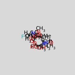 CC[C@H]1OC(=O)[C@H](C)[C@@H](OC(=O)Cc2ccc(F)cc2)[C@H](C)[C@@H](OC2OC(C)CC(N(C)C)C2O)[C@](C)(OC)C[C@@H](C)/C(=N\N=C(/C)c2ccco2)[C@H](C)[C@@H](O)[C@]1(C)O